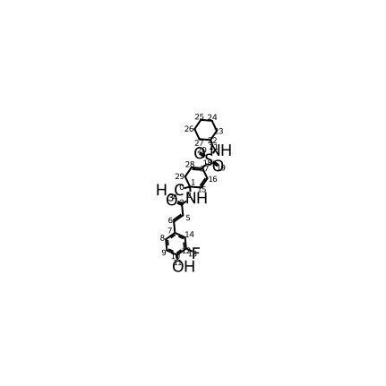 CC1(NC(=O)C=Cc2ccc(O)c(F)c2)C=CC(S(=O)(=O)NC2CCCCC2)=CC1